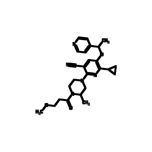 COCCC(=O)N1CCN(c2nc(C3CC3)c(OC(C)c3ccncc3)cc2C#N)CC1C